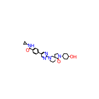 O=C(NC1CC1)c1ccc(-c2cnc(N3CCC[C@@]4(CCN([C@H]5CC[C@H](O)CC5)C4=O)C3)nc2)cc1